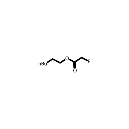 CCCCCCOC(=O)CF